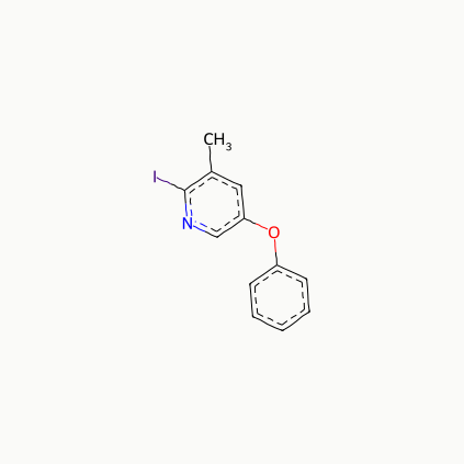 Cc1cc(Oc2ccccc2)cnc1I